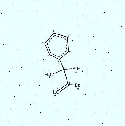 [CH2]CC(=C)C(C)(C)c1ccccc1